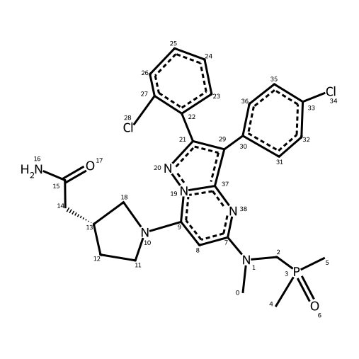 CN(CP(C)(C)=O)c1cc(N2CC[C@H](CC(N)=O)C2)n2nc(-c3ccccc3Cl)c(-c3ccc(Cl)cc3)c2n1